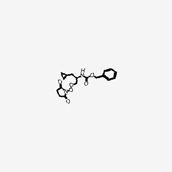 O=C(NC(COON1C(=O)CCC1=O)CC1CC1)OCc1ccccc1